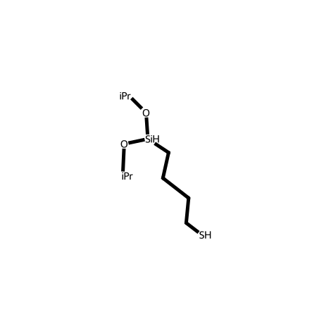 CC(C)O[SiH](CCCCS)OC(C)C